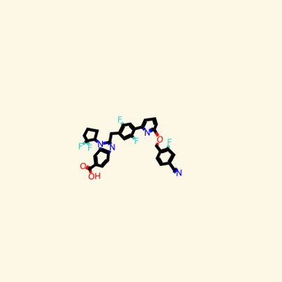 N#Cc1ccc(COc2cccc(-c3cc(F)c(Cc4nc5ccc(C(=O)O)cc5n4C4CCCC4(F)F)cc3F)n2)c(F)c1